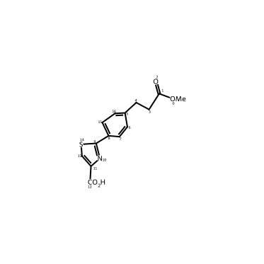 COC(=O)CCc1ccc(-c2nc(C(=O)O)cs2)cc1